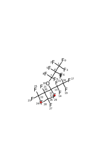 FC(F)(F)C(F)(F)C(F)(F)OC(F)(C(F)(F)C(F)(F)F)C(F)(C(F)(F)F)C(F)(F)F